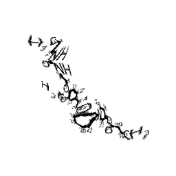 CCCNC(=O)NCCOc1ccc(CCO[C@H]2CCCCC2N2CC[C@@H](OC(=O)CCC)C2)cc1OC